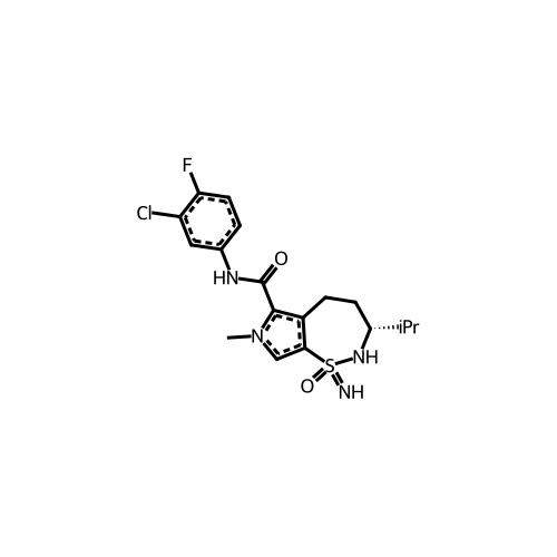 CC(C)[C@H]1CCc2c(cn(C)c2C(=O)Nc2ccc(F)c(Cl)c2)S(=N)(=O)N1